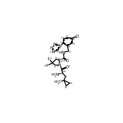 CC1(C[C@@H](N)C(=O)N2CC(F)(F)C[C@H]2C(=O)NCc2cc(Cl)ccc2-n2cnnn2)CC1